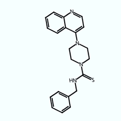 S=C(NCc1ccccc1)N1CCN(c2ccnc3ccccc23)CC1